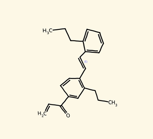 C=CC(=O)c1ccc(/C=C/c2ccccc2CCC)c(CCC)c1